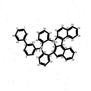 c1ccc(-c2cccc(-n3c4ccccc4c4cc5ccccc5c5c6c7ccccc7ccc6n(c6ccccc63)c45)c2)cc1